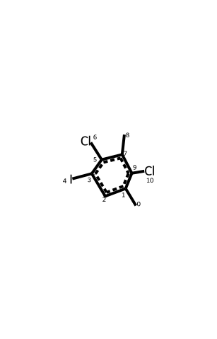 Cc1cc(I)c(Cl)c(C)c1Cl